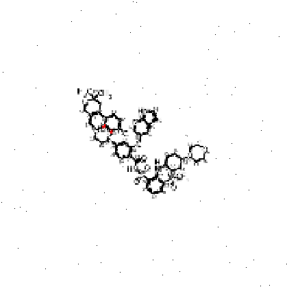 CC1(C)CC(c2ccc(Cl)cc2)=C(CN2CCN(c3ccc(C(=O)NS(=O)(=O)c4cccc(S(=O)(=O)C(F)(F)F)c4NC4CCC(N5CCOCC5)CC4)c(Oc4cnc5[nH]ccc5c4)c3)CC2)CO1